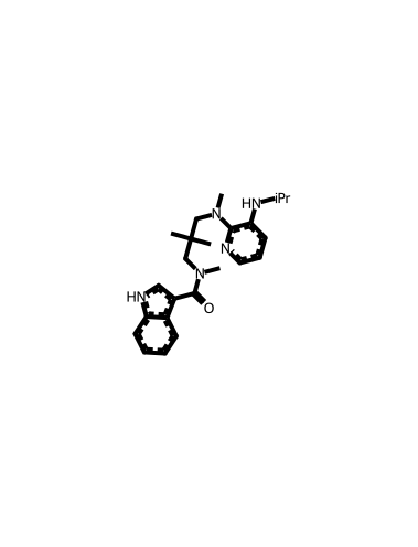 CC(C)Nc1cccnc1N(C)CC(C)(C)CN(C)C(=O)c1c[nH]c2ccccc12